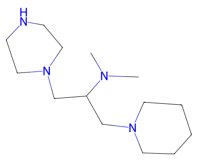 CN(C)C(CN1CCCCC1)CN1CCNCC1